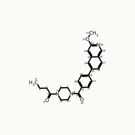 CCCC(=O)N1CCN(C(=O)c2ccc(-c3ccc4cnc(OC)cc4c3)cc2)CC1